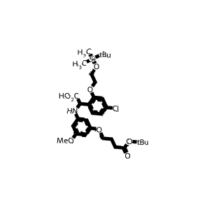 COc1cc(NC(C(=O)O)c2ccc(Cl)cc2OCCO[Si](C)(C)C(C)(C)C)cc(OCCCC(=O)OC(C)(C)C)c1